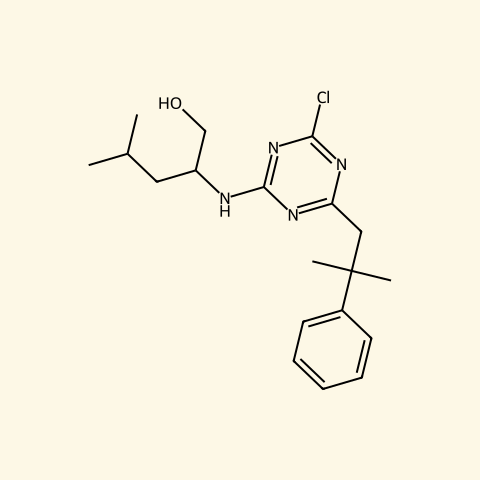 CC(C)CC(CO)Nc1nc(Cl)nc(CC(C)(C)c2ccccc2)n1